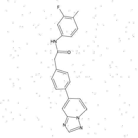 Cc1ccc(NC(=O)Cc2ccc(-c3ccn4ncnc4c3)cc2)cc1F